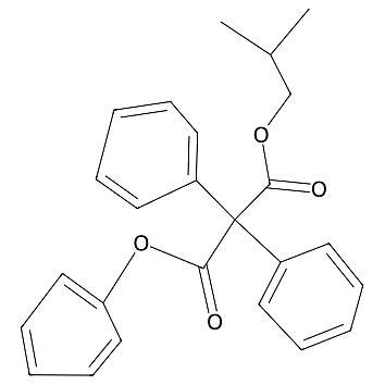 CC(C)COC(=O)C(C(=O)Oc1ccccc1)(c1ccccc1)c1ccccc1